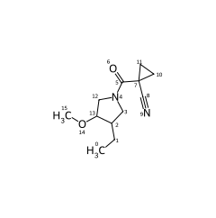 CCC1CN(C(=O)C2(C#N)CC2)CC1OC